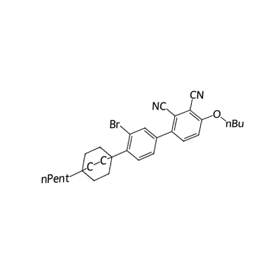 CCCCCC12CCC(c3ccc(-c4ccc(OCCCC)c(C#N)c4C#N)cc3Br)(CC1)CC2